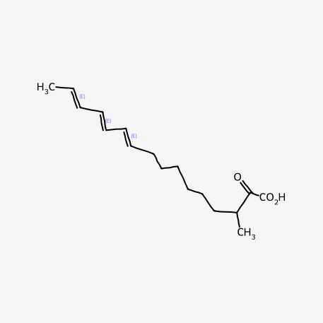 C/C=C/C=C/C=C/CCCCCCC(C)C(=O)C(=O)O